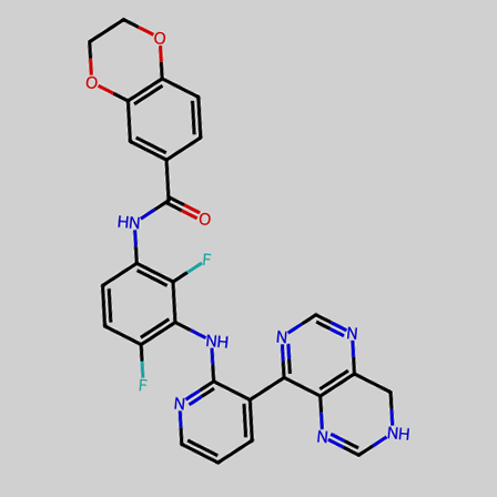 O=C(Nc1ccc(F)c(Nc2ncccc2-c2ncnc3c2N=CNC3)c1F)c1ccc2c(c1)OCCO2